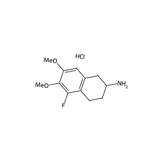 COc1cc2c(c(F)c1OC)CCC(N)C2.Cl